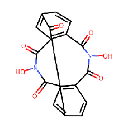 O=C1c2ccc3c(c2)C(=O)N(O)C(=O)c2cc1ccc2C(=O)N(O)C3=O